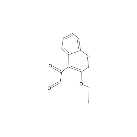 CCOc1ccc2ccccc2c1C(=O)C=O